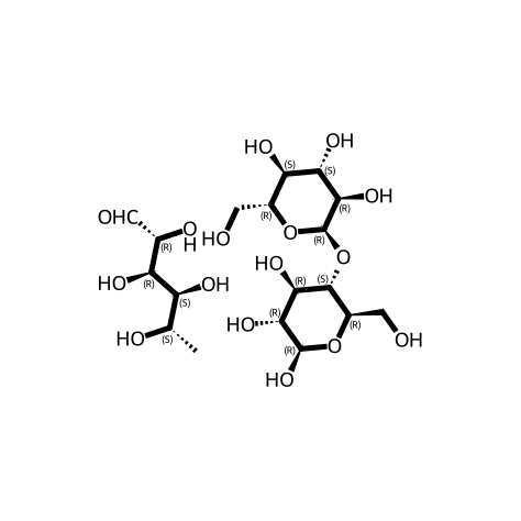 C[C@H](O)[C@H](O)[C@@H](O)[C@@H](O)C=O.OC[C@H]1O[C@H](O[C@H]2[C@H](O)[C@@H](O)[C@H](O)O[C@@H]2CO)[C@H](O)[C@@H](O)[C@@H]1O